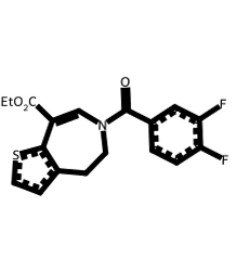 CCOC(=O)C1=CN(C(=O)c2ccc(F)c(F)c2)CCc2ccsc21